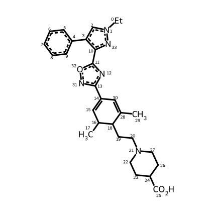 CCn1cc(-c2ccccc2)c(-c2nc(C3=CC(C)C(CCN4CCC(C(=O)O)CC4)C(C)=C3)no2)n1